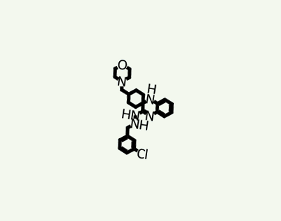 Clc1cccc(CNNC2=Nc3ccccc3NC23CCC(CN2CCOCC2)CC3)c1